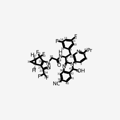 CC(C)c1ccc(N2C(C(Cc3cc(F)cc(F)c3)NC(=O)Cn3nc(C(F)F)c4c3C(F)(F)[C@@H]3C[C@H]43)=Nc3cc(C#N)ccc3C2O)cn1